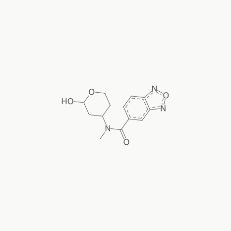 CN(C(=O)c1ccc2nonc2c1)C1CCOC(O)C1